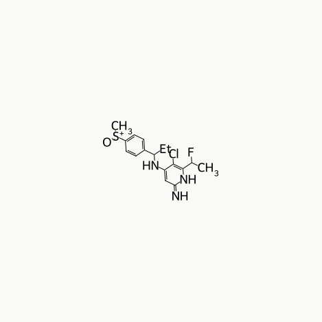 CCC(Nc1cc(=N)[nH]c(C(C)F)c1Cl)c1ccc([S+](C)[O-])cc1